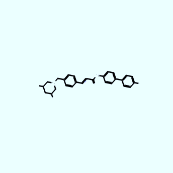 CC1CC(C)CN(Cc2ccc(/C=C/C(=O)Nc3ccc(-c4ccc(Cl)cc4)cc3)cc2)C1